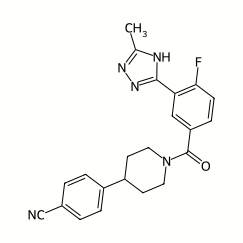 Cc1nnc(-c2cc(C(=O)N3CCC(c4ccc(C#N)cc4)CC3)ccc2F)[nH]1